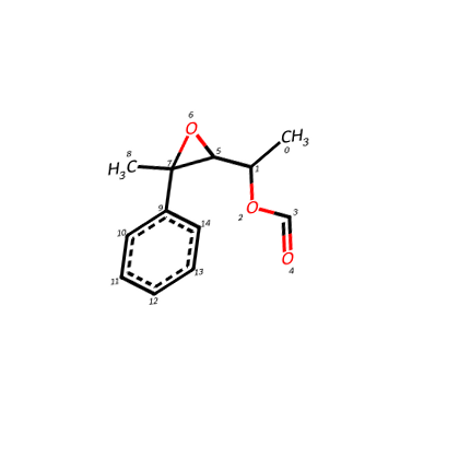 CC(OC=O)C1OC1(C)c1ccccc1